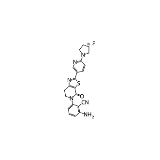 N#Cc1c(N)cccc1N1CCc2nc(-c3ccc(N4CC[C@H](F)C4)nc3)sc2C1=O